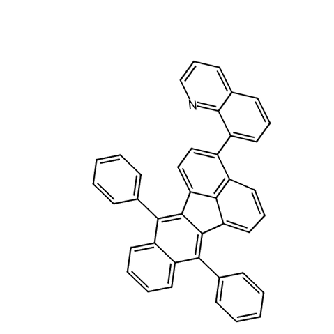 c1ccc(-c2c3c(c(-c4ccccc4)c4ccccc24)-c2ccc(-c4cccc5cccnc45)c4cccc-3c24)cc1